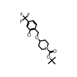 CC(C)(C)OC(=O)N1CCC(OCc2ccc(C(F)(F)F)cc2Cl)CC1